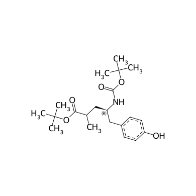 CC(C[C@H](Cc1ccc(O)cc1)NC(=O)OC(C)(C)C)C(=O)OC(C)(C)C